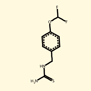 NC(=S)NCc1ccc(OC(F)F)cc1